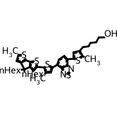 CCCCCCC1(CCCCCC)c2cc(C)sc2-c2sc(-c3sc(-c4ccc(-c5cc(CCCCCCO)c(C)s5)c5nsnc45)cc3C)cc21